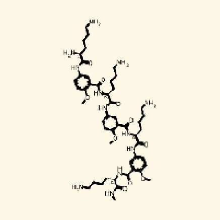 CNC(=O)[C@H](CCCCN)NC(=O)c1cc(NC(=O)[C@H](CCCCN)NC(=O)c2cc(NC(=O)[C@H](CCCCN)NC(=O)c3cc(NC(=O)[C@@H](N)CCCCN)ccc3OC)ccc2OC)ccc1OC